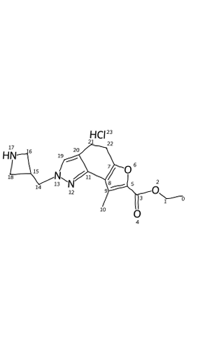 CCOC(=O)c1oc2c(c1C)-c1nn(CC3CNC3)cc1CC2.Cl